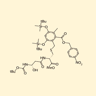 COC(=O)[C@@H](CSCc1c(O[Si](C)(C)C(C)(C)C)cc(O[Si](C)(C)C(C)(C)C)c(C)c1C(=O)OCc1ccc([N+](=O)[O-])cc1)NC(=O)C[C@H](O)NC(=O)OC(C)(C)C